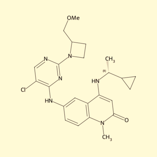 COCC1CCN1c1ncc(Cl)c(Nc2ccc3c(c2)c(N[C@H](C)C2CC2)cc(=O)n3C)n1